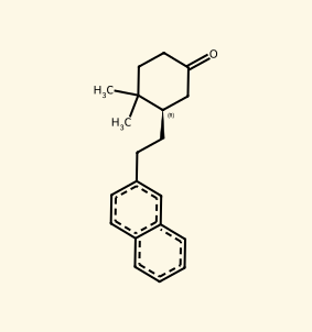 CC1(C)CCC(=O)C[C@H]1CCc1ccc2ccccc2c1